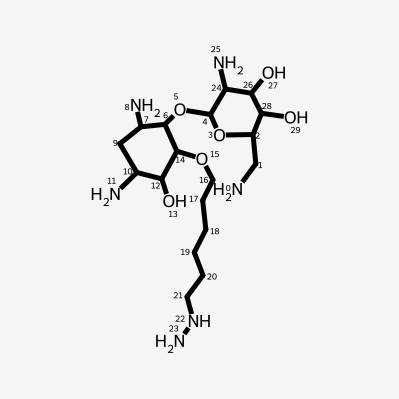 NCC1OC(OC2C(N)CC(N)C(O)C2OCCCCCCNN)C(N)C(O)C1O